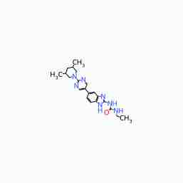 CCNC(=O)Nc1nc2cc(-c3cnc(N4CC(C)CC(C)C4)nc3)ccc2[nH]1